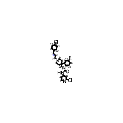 O=C(Nc1ccnc(Cl)c1)N1CC2(CCN(C/C=C/c3ccc(Cl)cc3)CC2)c2cc(F)ccc21